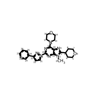 Cn1c(C2CCOCC2)nc2c(N3CCOCC3)nc(-n3ccc(-c4cccnc4)n3)nc21